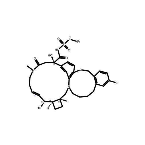 CC(C)NS(=O)(=O)NC(=O)[C@@]1(O)CC(=O)N(C)CC/C=C/[C@H](O)[C@@H]2CC[C@H]2CN2CCCCc3cc(Cl)ccc3COc3ccc1cc32